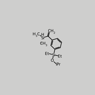 C=C(c1cccc([Si](CC)(CC)OC(C)C)c1)[SiH](C)C